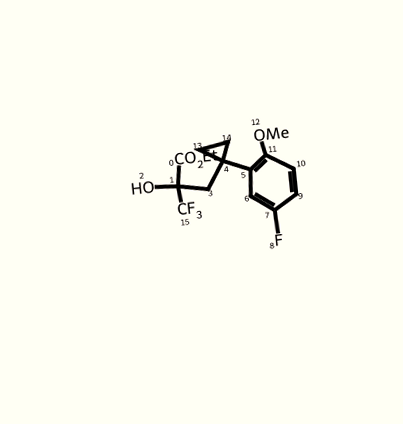 CCOC(=O)C(O)(CC1(c2cc(F)ccc2OC)CC1)C(F)(F)F